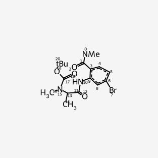 CNC(=O)c1ccc(Br)cc1NC(=O)C(C)N(C)C(=O)OC(C)(C)C